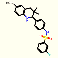 CC1(C)Cc2cc(C(=O)O)ccc2NC1c1ccc(NS(=O)(=O)c2cccc(F)c2)cc1